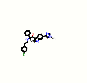 Cn1cnc(-c2ccc3c(C(=O)C(C)(NCCc4ccc(Cl)cc4)c4ccccc4)c[nH]c3c2)c1